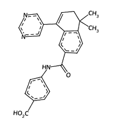 CC1(C)CC=C(c2cncnc2)c2cc(C(=O)Nc3ccc(C(=O)O)cc3)ccc21